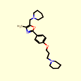 Cc1nc(-c2ccc(OCCCN3CCCCC3)cc2)oc1CN1CCCCC1